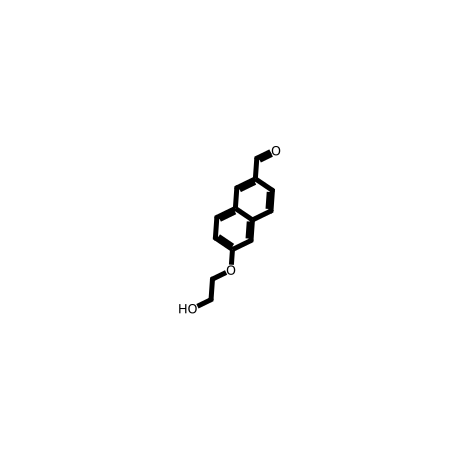 O=Cc1ccc2cc(OCCO)ccc2c1